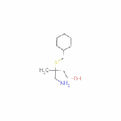 CC(CN)(CCO)SCC1CCCCC1